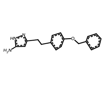 Nc1cc(CCc2ccc(OCc3ccccc3)cc2)n[nH]1